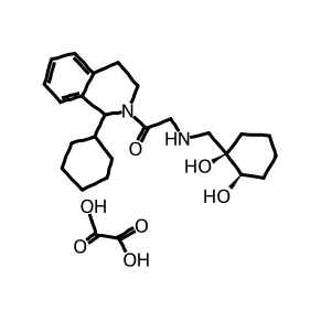 O=C(CNC[C@]1(O)CCCC[C@H]1O)N1CCc2ccccc2C1C1CCCCC1.O=C(O)C(=O)O